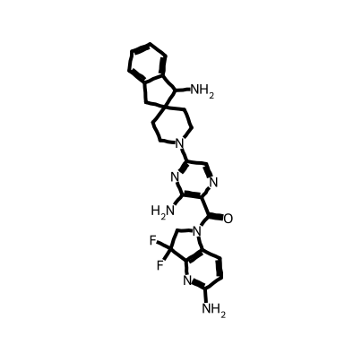 Nc1ccc2c(n1)C(F)(F)CN2C(=O)c1ncc(N2CCC3(CC2)Cc2ccccc2C3N)nc1N